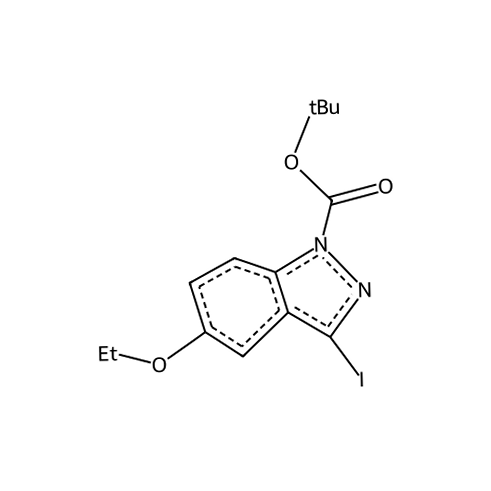 CCOc1ccc2c(c1)c(I)nn2C(=O)OC(C)(C)C